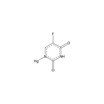 O=c1[nH]c(=O)[n]([Hg])cc1F